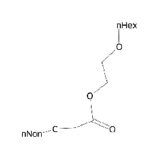 [CH2]CCCCCCCCCCC(=O)OCCOCCCCCC